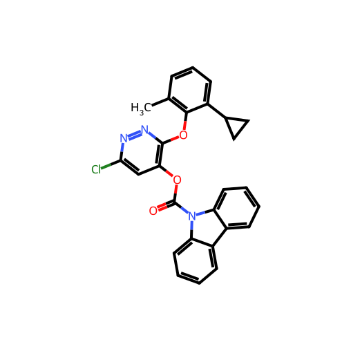 Cc1cccc(C2CC2)c1Oc1nnc(Cl)cc1OC(=O)n1c2ccccc2c2ccccc21